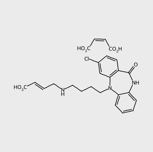 O=C(O)/C=C/CNCCCCN1c2ccccc2NC(=O)c2ccc(Cl)cc21.O=C(O)/C=C\C(=O)O